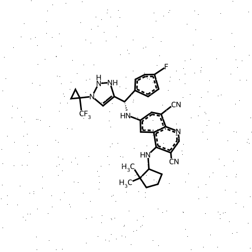 CC1(C)CCCC1Nc1c(C#N)cnc2c(C#N)cc(N[C@H](C3=CN(C4(C(F)(F)F)CC4)NN3)c3ccc(F)cc3)cc12